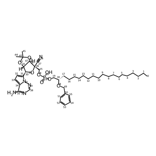 CCCCCCCCCCCCCCCCCC[C@@H](COP(=O)(O)OC[C@@]1(C#N)O[C@@H](c2ccc3c(N)ncnn23)[C@@H]2OC(C)(C)O[C@@H]21)OCc1ccccc1